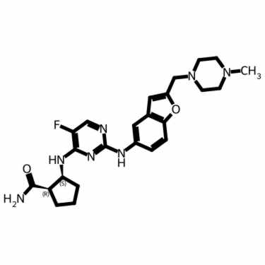 CN1CCN(Cc2cc3cc(Nc4ncc(F)c(N[C@H]5CCC[C@H]5C(N)=O)n4)ccc3o2)CC1